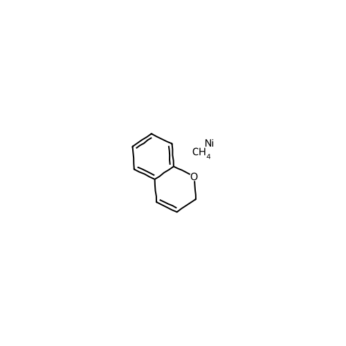 C.C1=Cc2ccccc2OC1.[Ni]